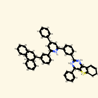 C1=Cc2c(sc3c(-c4ccccc4)nc(-c4cccc(-c5cc(-c6ccccc6)cc(-c6cccc(-c7cc8ccccc8c8ccccc78)c6)n5)c4)nc23)CC1